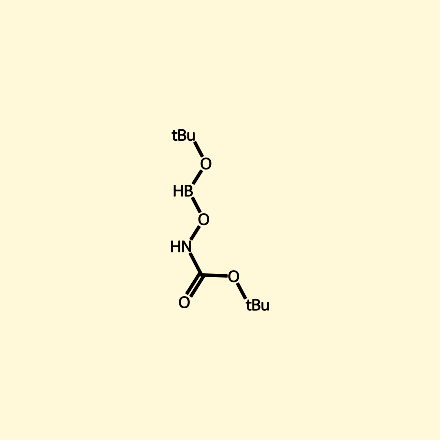 CC(C)(C)OBONC(=O)OC(C)(C)C